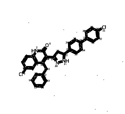 O=c1[nH]c2ccc(Cl)cc2c(Cc2ccccc2)c1C1=NNC(c2ccc(-c3ccc(Cl)cc3)cc2)C1